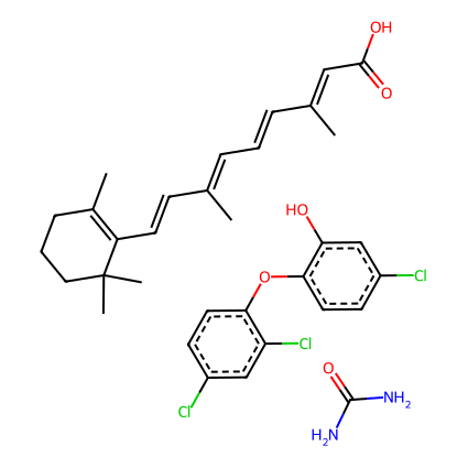 CC1=C(/C=C/C(C)=C/C=C/C(C)=C/C(=O)O)C(C)(C)CCC1.NC(N)=O.Oc1cc(Cl)ccc1Oc1ccc(Cl)cc1Cl